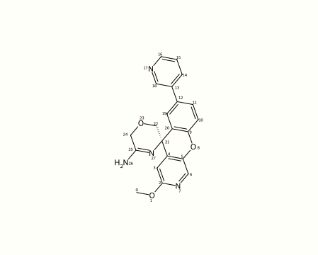 COc1cc2c(cn1)Oc1ccc(-c3cccnc3)cc1[C@@]21COCC(N)=N1